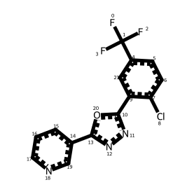 FC(F)(F)c1ccc(Cl)c(-c2nnc(-c3cccnc3)o2)c1